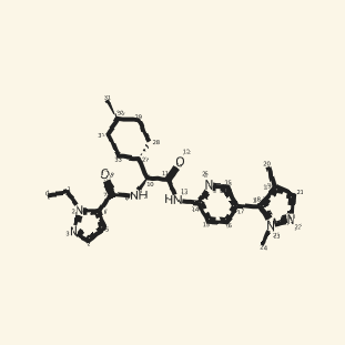 CCn1nccc1C(=O)N[C@H](C(=O)Nc1ccc(-c2c(C)cnn2C)cn1)[C@H]1CC[C@H](C)CC1